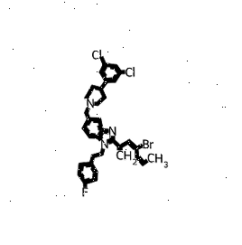 C=C(/C=C(Br)\C=C/C)c1nc2cc(CN3CCC(c4cc(Cl)cc(Cl)c4)CC3)ccc2n1CCc1ccc(F)cc1